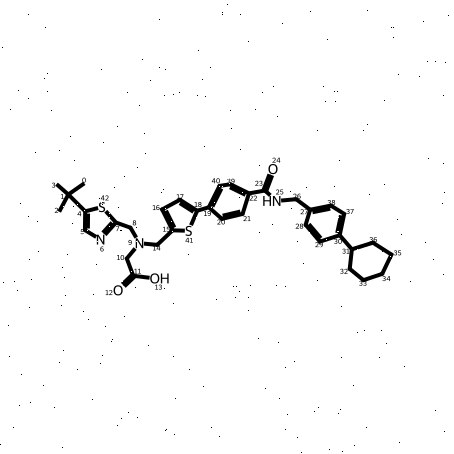 CC(C)(C)c1cnc(CN(CC(=O)O)Cc2ccc(-c3ccc(C(=O)NCc4ccc(C5CCCCC5)cc4)cc3)s2)s1